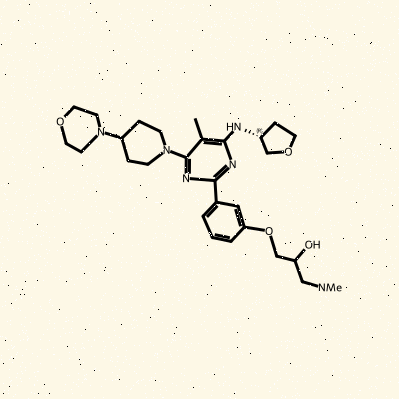 CNCC(O)COc1cccc(-c2nc(N[C@@H]3CCOC3)c(C)c(N3CCC(N4CCOCC4)CC3)n2)c1